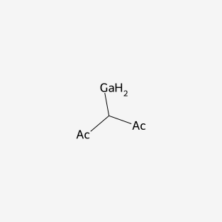 CC(=O)[CH]([GaH2])C(C)=O